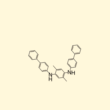 Cc1cc(Nc2ccc(-c3ccccc3)cc2)c(C)cc1Nc1ccc(-c2ccccc2)cc1